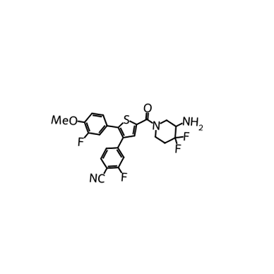 COc1ccc(-c2sc(C(=O)N3CCC(F)(F)C(N)C3)cc2-c2ccc(C#N)c(F)c2)cc1F